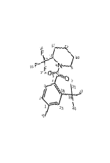 Cc1ccc(S(=O)(=O)N2CCCCC2C(F)(F)F)c(C(C)(C)C)c1